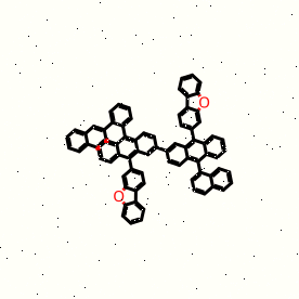 c1ccc(-c2c3ccccc3c(-c3ccc4c(c3)oc3ccccc34)c3cc(-c4ccc5c(-c6cccc7ccccc67)c6ccccc6c(-c6ccc7c(c6)oc6ccccc67)c5c4)ccc23)c(-c2ccc3ccccc3c2)c1